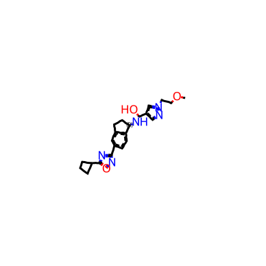 COCCn1cc(C(O)N[C@@H]2CCc3cc(-c4noc(C5CCC5)n4)ccc32)cn1